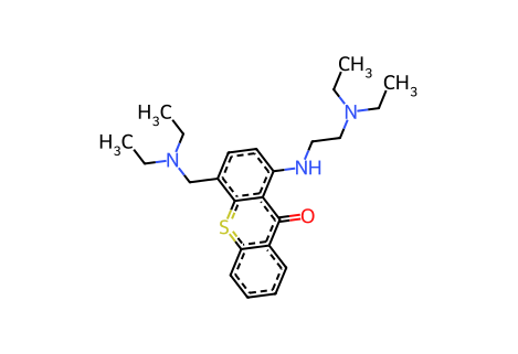 CCN(CC)CCNc1ccc(CN(CC)CC)c2sc3ccccc3c(=O)c12